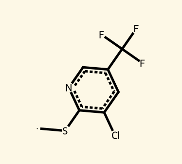 [CH2]Sc1ncc(C(F)(F)F)cc1Cl